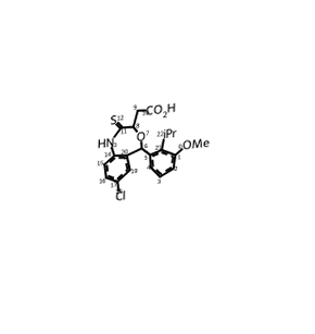 COc1cccc(C2OC(CC(=O)O)C(=S)Nc3ccc(Cl)cc32)c1C(C)C